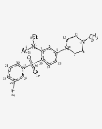 CCN(C(C)=O)c1cc(N2CCN(C)CC2)ccc1S(=O)(=O)c1cccc(F)c1